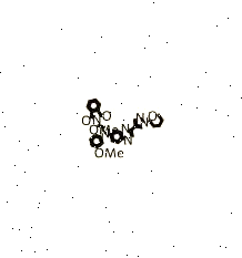 COc1ccc(OC)c(N(CCN2C(=O)c3ccccc3C2=O)c2ccc3ncc(-c4cnn(C5CCCCO5)c4)nc3c2)c1